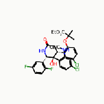 CCOC(=O)C(C)(C)Oc1ccc(Cl)cc1[C@H]1CC(=O)N[C@@H](c2cc(F)ccc2F)[C@@]1(O)c1ccc(Cl)cc1NC=O